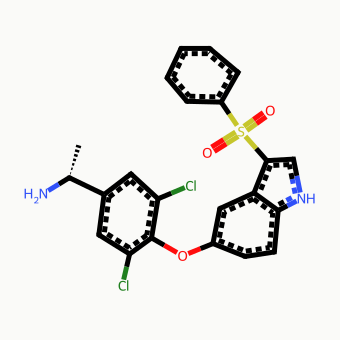 C[C@@H](N)c1cc(Cl)c(Oc2ccc3[nH]cc(S(=O)(=O)c4ccccc4)c3c2)c(Cl)c1